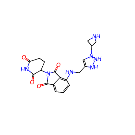 O=C1CCC(N2C(=O)c3cccc(NCC4=CN(C5CNC5)NN4)c3C2=O)C(=O)N1